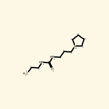 CCCNC(=O)NCCCN1C[CH]CC1